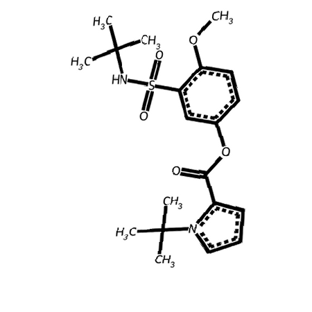 COc1ccc(OC(=O)c2cccn2C(C)(C)C)cc1S(=O)(=O)NC(C)(C)C